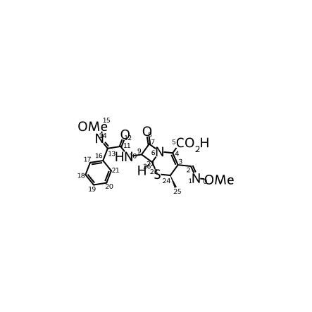 CON=CC1=C(C(=O)O)N2C(=O)C(NC(=O)/C(=N\OC)c3ccccc3)[C@@H]2S[C@@H]1C